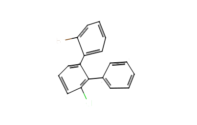 Clc1cccc(-c2ccccc2Br)c1-c1ccccc1